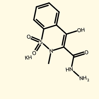 CN1C(C(=O)NN)=C(O)c2ccccc2S1(=O)=O.[KH]